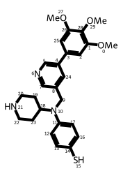 COc1cc(-c2cncc(CN(c3ccc(S)cc3)C3CCNCC3)c2)cc(OC)c1OC